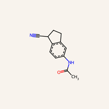 CC(=O)Nc1ccc2c(c1)CCC2C#N